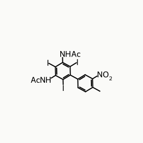 CC(=O)Nc1c(I)c(NC(C)=O)c(I)c(-c2ccc(C)c([N+](=O)[O-])c2)c1I